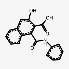 O=C(O)c1c(O)cc2ccccc2c1C(=O)Nc1ccccc1